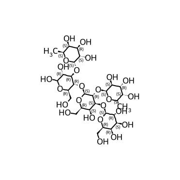 C[C@@H]1O[C@@H](O[C@H]2[C@H](O[C@H]3[C@H](O[C@@H]4O[C@@H](C)[C@@H](O)[C@@H](O)[C@@H]4O)[C@@H](O)C(O)O[C@@H]3CO)O[C@H](CO)[C@H](O)[C@@H]2O[C@@H]2O[C@H](CO)[C@H](O)[C@H](O)[C@H]2O)[C@@H](O)[C@H](O)[C@@H]1O